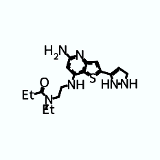 CCC(=O)N(CC)CCNc1cc(N)nc2cc(C3=CCNN3)sc12